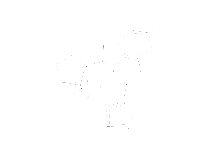 CCCCC1C2CC[N+]1(C(C)C(O)(Cn1cncn1)c1ccc(F)cc1F)CC2